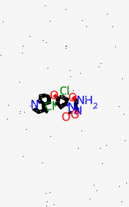 Cc1ccnc2ccc(Oc3c(Cl)cc(-n4c(C(N)=O)noc4=O)cc3Cl)cc12